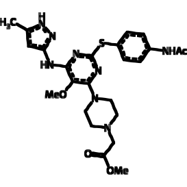 COC(=O)CN1CCN(c2nc(Sc3ccc(NC(C)=O)cc3)nc(Nc3cc(C)[nH]n3)c2OC)CC1